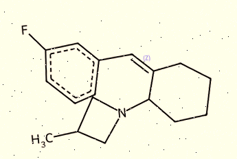 CC1CN(C2CCCC/C2=C/c2cccc(F)c2)C1